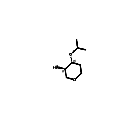 CC(C)O[C@@H]1CCOC[C@H]1O